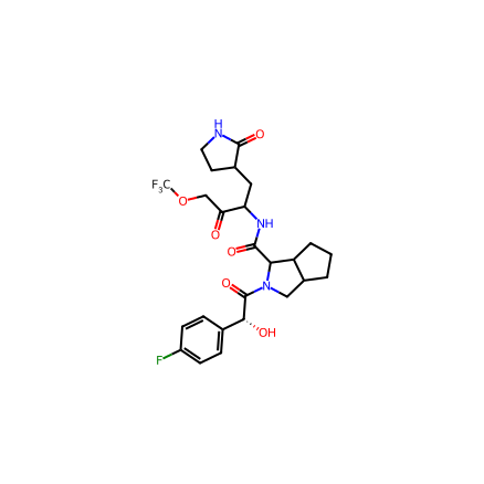 O=C1NCCC1CC(NC(=O)C1C2CCCC2CN1C(=O)[C@H](O)c1ccc(F)cc1)C(=O)COC(F)(F)F